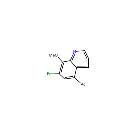 COc1c(Br)cc(C(C)=O)c2cccnc12